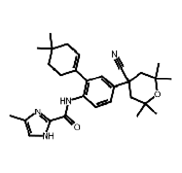 Cc1c[nH]c(C(=O)Nc2ccc(C3(C#N)CC(C)(C)OC(C)(C)C3)cc2C2=CCC(C)(C)CC2)n1